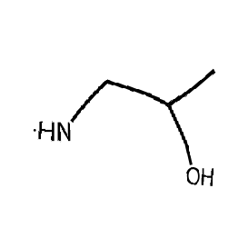 CC(O)C[NH]